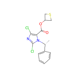 C[C@H](c1ccccc1)n1c(Cl)nc(Cl)c1C(=O)OC1CSC1